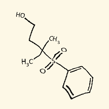 CC(C)(CCO)S(=O)(=O)c1ccccc1